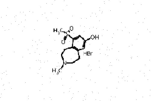 Br.CN1CCc2cc(O)cc(S(C)(=O)=O)c2CC1